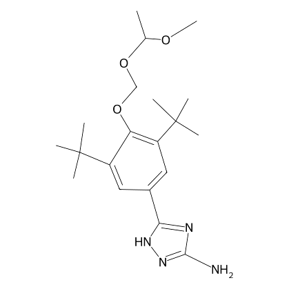 COC(C)OCOc1c(C(C)(C)C)cc(-c2nc(N)n[nH]2)cc1C(C)(C)C